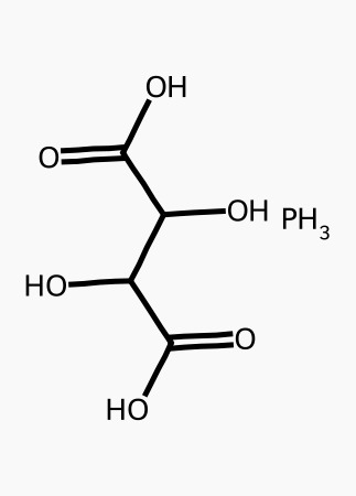 O=C(O)C(O)C(O)C(=O)O.P